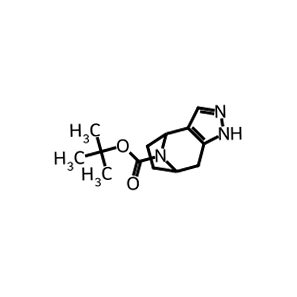 CC(C)(C)OC(=O)N1C2CCC1c1cn[nH]c1C2